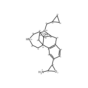 NC1OC1c1ccc2c(c1)C13CCNCCC1(O)C(C2)N(CC1CC1)CC3